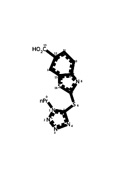 CCCn1nnnc1Sc1nc2ccc(C(=O)O)cc2s1